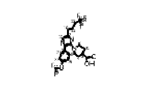 O=C(O)C1CCN(c2nc(CCCC(F)(F)F)cnc2-c2ccc(OC(F)F)cc2)CC1